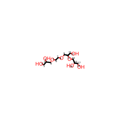 OCC(O)COCCOCC(CO)OCC(O)CO